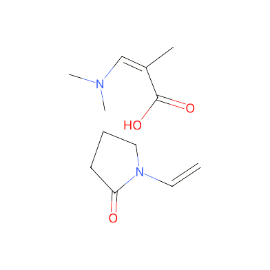 C=CN1CCCC1=O.CC(=CN(C)C)C(=O)O